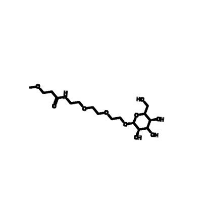 COCCC(=O)NCCOCCOCCO[C@H]1OC(CO)[C@@H](O)C(O)[C@H]1O